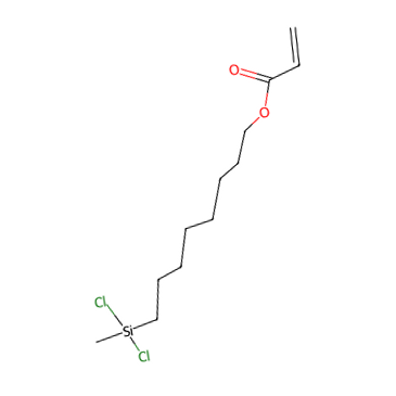 C=CC(=O)OCCCCCCCC[Si](C)(Cl)Cl